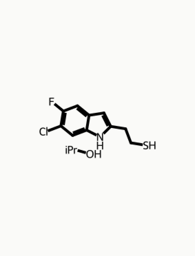 CC(C)O.Fc1cc2cc(CCS)[nH]c2cc1Cl